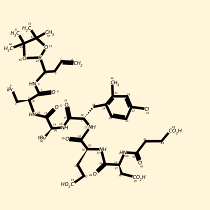 C=CCC(NC(=O)[C@H](CC(C)C)NC(=O)[C@@H](NC(=O)[C@H](Cc1ccc(Cl)cc1C)NC(=O)[C@H](CCC(=O)O)NC(=O)[C@H](CC(=O)O)NC(=O)CCC(=O)O)C(C)(C)C)B1OC(C)(C)C(C)(C)O1